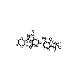 COc1cc(N(C)S(C)(=O)=O)ccc1-c1nc2c(c(C3CCCCC3)nn2C)c(=O)[nH]1